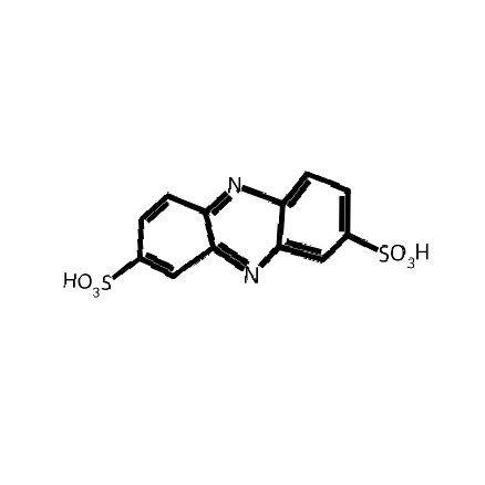 O=S(=O)(O)c1ccc2nc3ccc(S(=O)(=O)O)cc3nc2c1